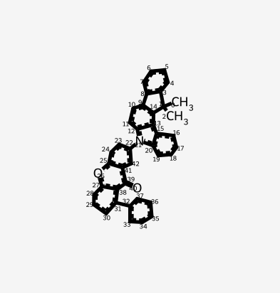 CC1(C)c2ccccc2-c2ccc3c(c21)c1ccccc1n3-c1ccc2oc3cccc(-c4ccccc4)c3c(=O)c2c1